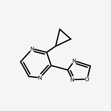 c1cnc(C2CC2)c(-c2ncon2)n1